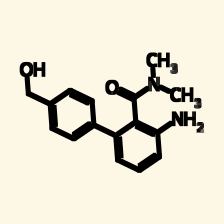 CN(C)C(=O)c1c(N)cccc1-c1ccc(CO)cc1